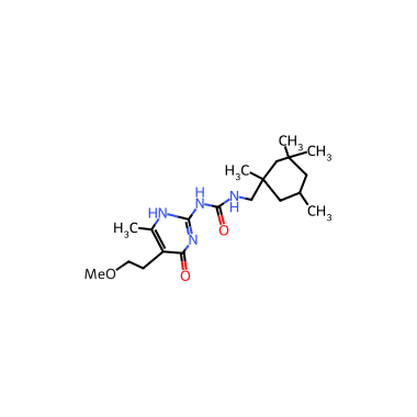 COCCc1c(C)[nH]c(NC(=O)NCC2(C)CC(C)CC(C)(C)C2)nc1=O